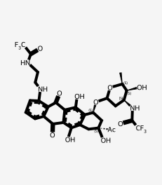 CC(=O)[C@]1(O)Cc2c(O)c3c(c(O)c2[C@@H](OC2C[C@H](NC(=O)C(F)(F)F)[C@H](O)[C@H](C)O2)C1)C(=O)c1c(NCCNC(=O)C(F)(F)F)cccc1C3=O